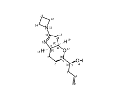 C=CC[C@H](O)[C@H]1CC[C@H]2N=C(N3CCC3)S[C@H]2O1